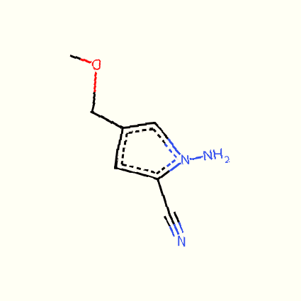 COCc1cc(C#N)n(N)c1